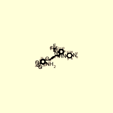 CN(C)[C@H]1CC[C@H](Nc2cccc3c2cc(C#CCOc2ccc(S(C)(=O)=O)cc2N)n3CC(F)(F)F)CC1